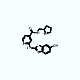 N#Cc1ccc2nc(Nc3cc(C(=O)NCC4CCCN4)ccn3)sc2c1